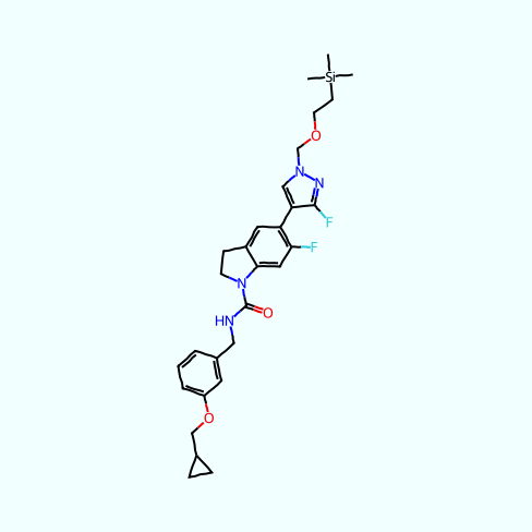 C[Si](C)(C)CCOCn1cc(-c2cc3c(cc2F)N(C(=O)NCc2cccc(OCC4CC4)c2)CC3)c(F)n1